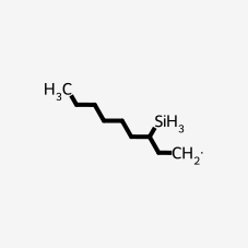 [CH2]CC([SiH3])CCCCCC